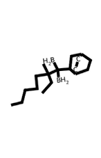 BC(B)(C1CC2CCC1CC2)C(C)(CC)CCCCC